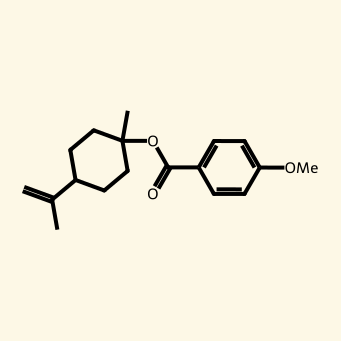 C=C(C)C1CCC(C)(OC(=O)c2ccc(OC)cc2)CC1